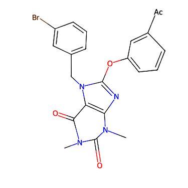 CC(=O)c1cccc(Oc2nc3c(c(=O)n(C)c(=O)n3C)n2Cc2cccc(Br)c2)c1